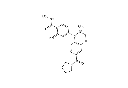 CNC(=O)n1ccc(N2c3ccc(C(=O)N4CCCC4)cc3OC[C@H]2C)cc1=N